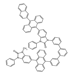 Cn1c(=O)n(-c2ccccc2)c2ccc(-c3c4ccccc4c(-c4cccc(-c5cccc(-c6cccc(-n7c(=O)n(-c8ccccc8)c8cc(-c9c%10ccccc%10c(-c%10ccc%11ccccc%11c%10)c%10ccccc9%10)ccc87)c6)c5)c4)c4ccccc34)cc21